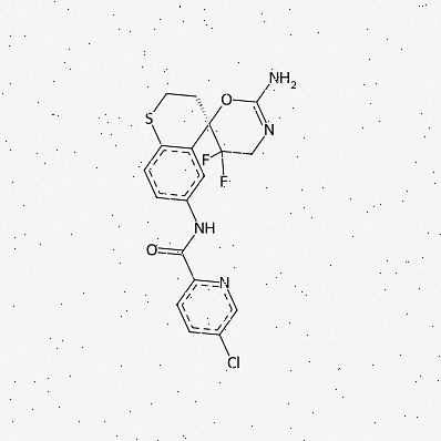 NC1=NCC(F)(F)[C@]2(CCSc3ccc(NC(=O)c4ccc(Cl)cn4)cc32)O1